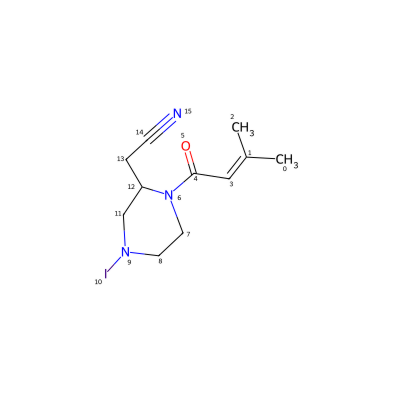 CC(C)=CC(=O)N1CCN(I)CC1CC#N